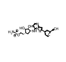 C#Cc1cccc(-c2cc3nccc(N[C@@H]4C[C@H](CCOS(N)(=O)=O)[C@@H](O)[C@H]4O)n3n2)c1